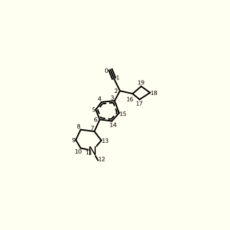 C#CC(c1ccc(C2CCCN(C)C2)cc1)C1CCC1